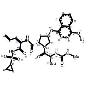 C=C/C=C(/NC(=O)[C@@H]1C[C@@H](Oc2nnc(OCC)c3ccccc23)CN1C(=O)[C@@H](NC(=O)OC(C)(C)C)C(C)(C)C)C(=O)NS(=O)(=O)C1CC1